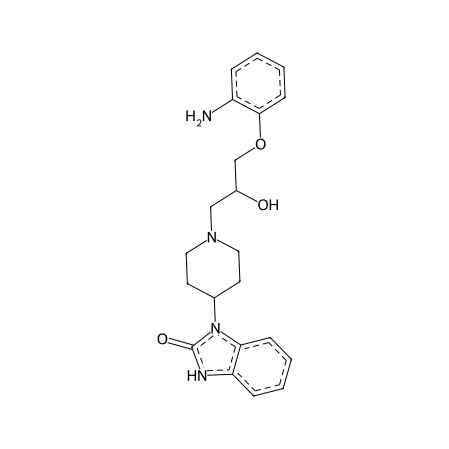 Nc1ccccc1OCC(O)CN1CCC(n2c(=O)[nH]c3ccccc32)CC1